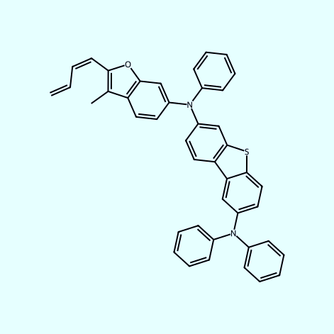 C=C/C=C\c1oc2cc(N(c3ccccc3)c3ccc4c(c3)sc3ccc(N(c5ccccc5)c5ccccc5)cc34)ccc2c1C